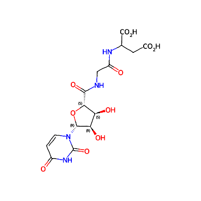 O=C(O)CC(NC(=O)CNC(=O)[C@H]1O[C@@H](n2ccc(=O)[nH]c2=O)[C@H](O)[C@@H]1O)C(=O)O